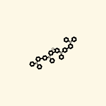 c1ccc(N(c2ccccc2)c2cccc(-c3ccc(N(c4ccccc4)c4ccc5oc6ccc(N(c7ccccc7)c7ccc(-c8cccc(N(c9ccccc9)c9ccccc9)c8)cc7)cc6c5c4)cc3)c2)cc1